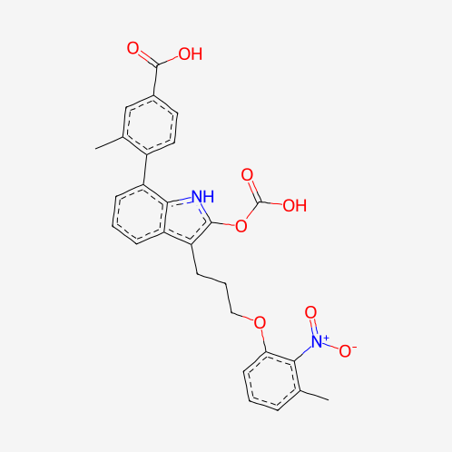 Cc1cc(C(=O)O)ccc1-c1cccc2c(CCCOc3cccc(C)c3[N+](=O)[O-])c(OC(=O)O)[nH]c12